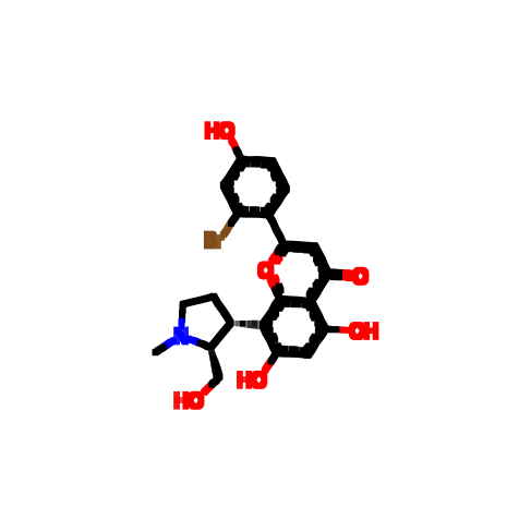 CN1CC[C@H](c2c(O)cc(O)c3c(=O)cc(-c4ccc(O)cc4Br)oc23)[C@H]1CO